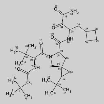 CC(C)(C)OC(=O)N[C@H](C(=O)N1C[C@]2(CC2C(C)(C)C)C[C@H]1C(=O)NC(CC1CCC1)C(=O)C(N)=O)C(C)(C)C